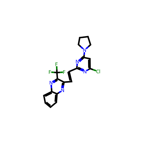 FC(F)(F)c1nc2ccccc2nc1/C=C/c1nc(Cl)cc(N2CCCC2)n1